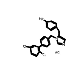 Cl.N#Cc1ccc(Cc2cncn2Cc2ccc(-c3cc(Cl)ccc3Cl)cc2)cc1